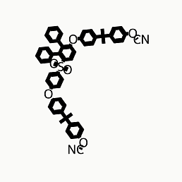 CC(C)(c1ccc(OC#N)cc1)c1ccc(Oc2ccc(S(=O)(=O)c3ccc(Oc4ccc(C(C)(C)c5ccc(OC#N)cc5)cc4)c(-c4ccccc4)c3-c3ccccc3)cc2)cc1